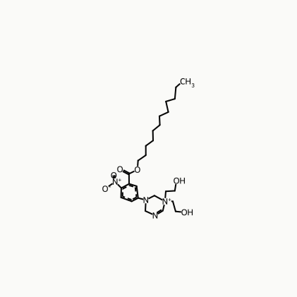 CCCCCCCCCCCCOC(=O)c1cc(N2CN=C[N+](CCO)(CCO)C2)ccc1[N+](=O)[O-]